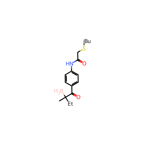 BC(C)(CC)C(=O)c1ccc(NC(=O)CSC(C)CC)cc1